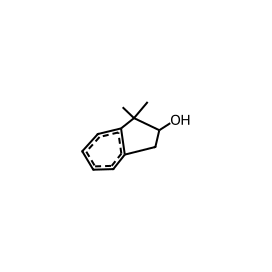 CC1(C)c2ccccc2CC1O